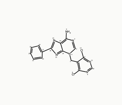 Nc1ncn(Cc2c(Cl)ncnc2Cl)c2nc(-c3ccccc3)nc1-2